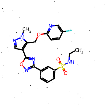 [CH2]CNS(=O)(=O)c1cccc(-c2noc(-c3cnn(C)c3COc3ccc(F)cn3)n2)c1